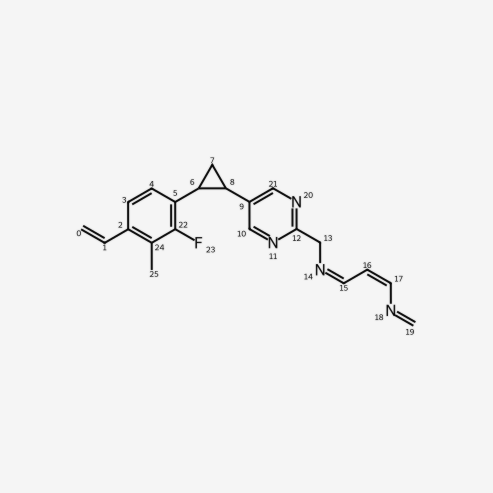 C=Cc1ccc(C2CC2c2cnc(C/N=C\C=C/N=C)nc2)c(F)c1C